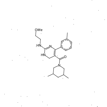 COCCNC1=NC(c2cccc(C)c2)=C(C(=O)N2CC(C)CC(C)C2)CN1